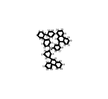 c1ccc(-c2ccccc2-c2ccc(N(c3cccc(-c4cc5ccccc5c5ccccc45)c3)c3cccc(-c4cc5ccccc5c5ccccc45)c3)cc2)cc1